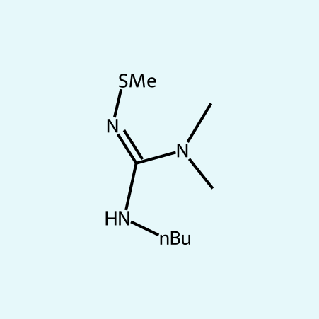 CCCCN/C(=N/SC)N(C)C